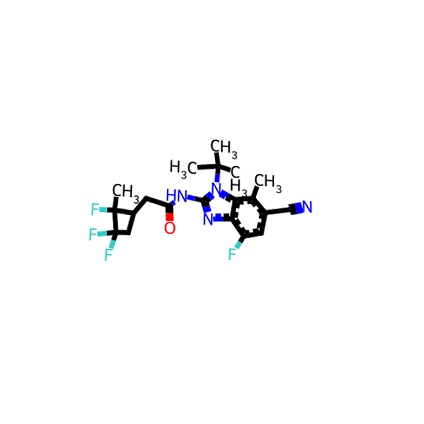 Cc1c(C#N)cc(F)c2nc(NC(=O)CC3CC(F)(F)C3(C)F)n(C(C)(C)C)c12